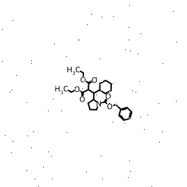 CCOC(=O)C(C(=O)OCC)C(C1CCCCC1)C1CCCN1C(=O)OCc1ccccc1